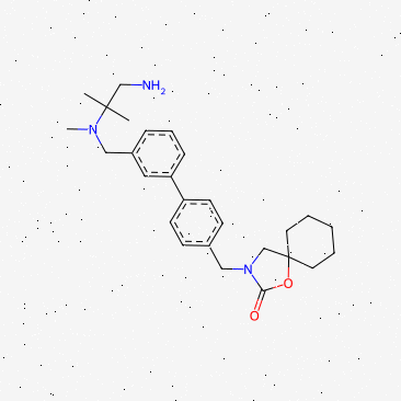 CN(Cc1cccc(-c2ccc(CN3CC4(CCCCC4)OC3=O)cc2)c1)C(C)(C)CN